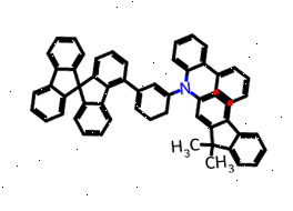 CC1(C)c2ccccc2-c2ccc(N(C3=CC(c4cccc5c4-c4ccccc4C54c5ccccc5-c5ccccc54)=CCC3)c3ccccc3-c3c#cccc3)cc21